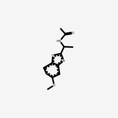 COc1ccc2oc(C(C)NC(C)=O)nc2c1